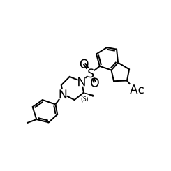 CC(=O)C1Cc2cccc(S(=O)(=O)N3CCN(c4ccc(C)cc4)C[C@@H]3C)c2C1